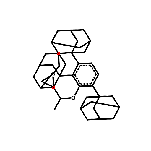 CC(Oc1c(C23CC4CC(CC(C4)C2)C3)ccc(C23CC4CC(CC(C4)C2)C3)c1C12CC3CC(CC(C3)C1)C2)C1CO1